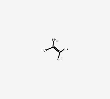 CCCC(O)=C(N)N